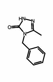 Cc1n[nH]c(=O)n1Cc1ccccc1